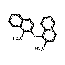 O=C(O)c1ccc2ccccc2c1Sc1ccc2ccccc2c1C(=O)O